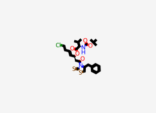 CC(C)[C@H](NC(=O)OC(C)(C)C)C(=O)O[C@H](/C=C/CCCl)CC(=O)N1C(=S)SCC1Cc1ccccc1